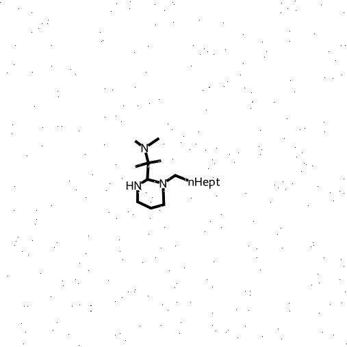 CCCCCCCCN1CCCNC1C(C)(C)N(C)C